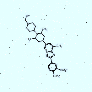 COc1ccc(-c2cn3cc(C4CC(C)N(C5CCN(CC(C)C)CC5)C(C)C4)cc(C)c3n2)cc1OC